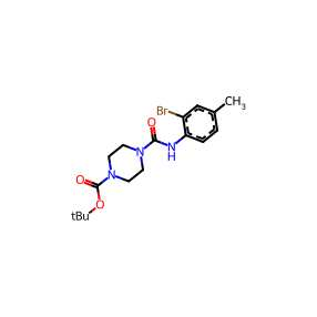 Cc1ccc(NC(=O)N2CCN(C(=O)OC(C)(C)C)CC2)c(Br)c1